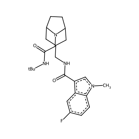 Cn1cc(C(=O)NCC2CC3CCC(C2)N3CC(=O)NC(C)(C)C)c2cc(F)ccc21